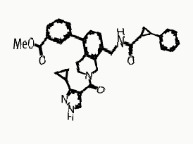 COC(=O)c1cccc(-c2ccc(CNC(=O)C3CC3c3ccccc3)c3c2CCN(C(=O)c2c[nH]nc2C2CC2)C3)c1